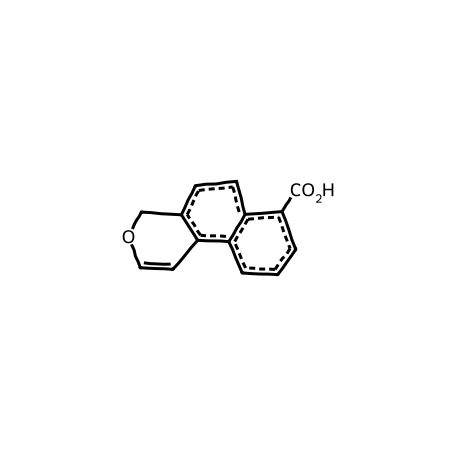 O=C(O)c1cccc2c3c(ccc12)COC=C3